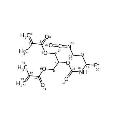 C=C(C)C(=O)OCC(COC(=O)C(=C)C)OC(=O)NC(CC)CCN=C=O